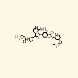 C=CC(=O)N1CCC(c2nc(-c3ccc(C(=O)Nc4cc(OC)ccn4)cc3)n3c(N)nccc23)C1